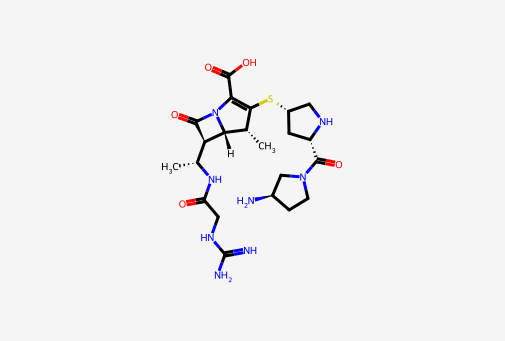 C[C@@H](NC(=O)CNC(=N)N)[C@H]1C(=O)N2C(C(=O)O)=C(S[C@@H]3CN[C@H](C(=O)N4CC[C@@H](N)C4)C3)[C@H](C)[C@H]12